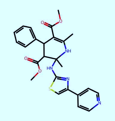 COC(=O)C1=C(C)NC(C)(Nc2nc(-c3ccncc3)cs2)C(C(=O)OC)C1c1ccccc1